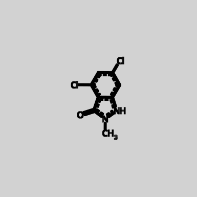 Cn1[nH]c2cc(Cl)cc(Cl)c2c1=O